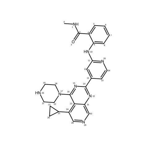 CNC(=O)c1ccccc1Nc1cc(-c2nc(N3CCNCC3)c3c(C4CC4)cncc3n2)ccn1